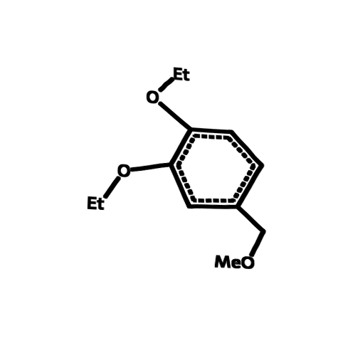 CCOc1ccc(COC)cc1OCC